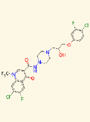 O=C(NN1CCN(CC(O)COc2ccc(Cl)c(F)c2)CC1)c1cn(C(F)(F)F)c2cc(Cl)c(F)cc2c1=O